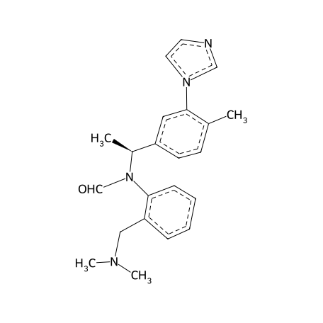 Cc1ccc([C@H](C)N(C=O)c2ccccc2CN(C)C)cc1-n1ccnc1